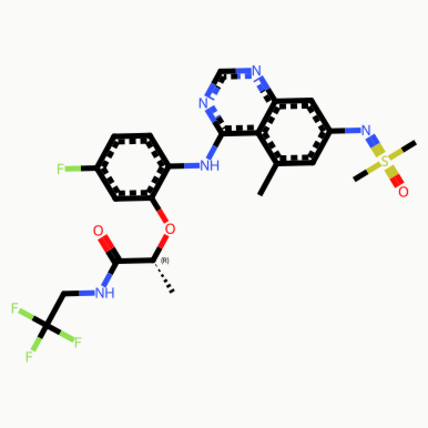 Cc1cc(N=S(C)(C)=O)cc2ncnc(Nc3ccc(F)cc3O[C@H](C)C(=O)NCC(F)(F)F)c12